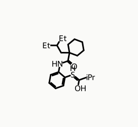 CCC(CC)CC1(C(=O)Nc2ccccc2[SH]=C(O)C(C)C)CCCCC1